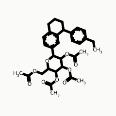 CCc1ccc(C2CCCc3ccc(C4OC(COC(C)=O)C(OC(C)=O)C(OC(C)=O)C4OC(C)=O)cc32)cc1